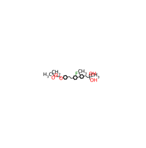 C=C(C)C(=O)OCCOc1ccc(CCc2ccc(-c3ccc(CCC(CC)(CO)CO)cc3CC)c(F)c2)cc1